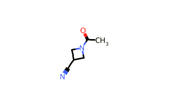 CC(=O)N1CC(C#N)C1